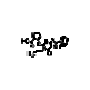 CCCn1c(Oc2cccnc2C(=O)O)nc2nc(C34CC5=CC(CC5C3)C4)[nH]c2c1=O